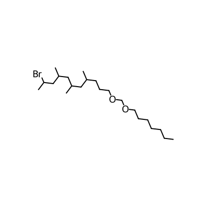 CCCCCCCOCOCCCC(C)CC(C)CC(C)CC(C)Br